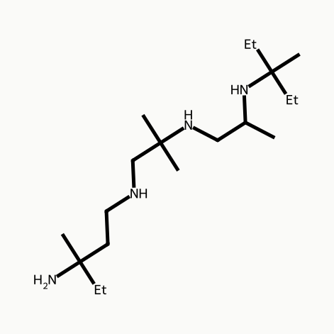 CCC(C)(N)CCNCC(C)(C)NCC(C)NC(C)(CC)CC